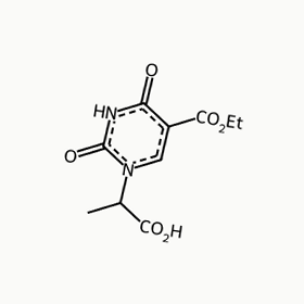 CCOC(=O)c1cn(C(C)C(=O)O)c(=O)[nH]c1=O